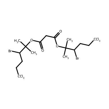 CC(C)(OC(=O)CC(=O)OC(C)(C)C(Br)CCC(Cl)(Cl)Cl)C(Br)CCC(Cl)(Cl)Cl